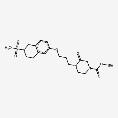 CC(C)(C)OC(=O)N1CCN(CCCOc2ccc3c(c2)CCN(S(C)(=O)=O)C3)C(=O)C1